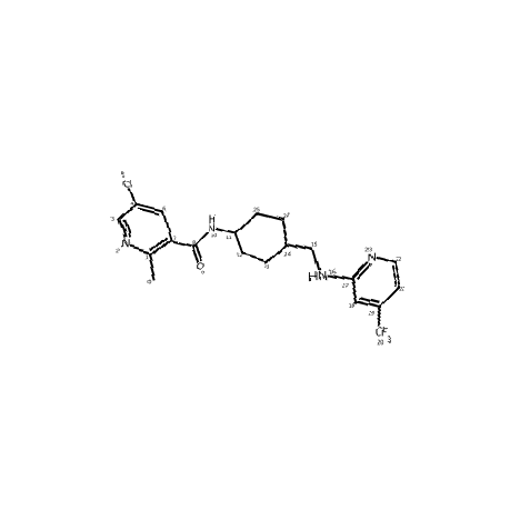 Cc1ncc(Cl)cc1C(=O)NC1CCC(CNc2cc(C(F)(F)F)ccn2)CC1